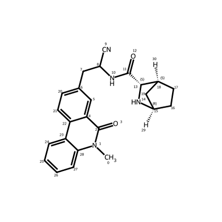 Cn1c(=O)c2cc(CC(C#N)NC(=O)[C@H]3N[C@@H]4CC[C@H]3C4)ccc2c2ccccc21